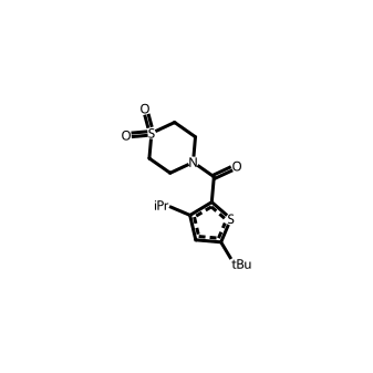 CC(C)c1cc(C(C)(C)C)sc1C(=O)N1CCS(=O)(=O)CC1